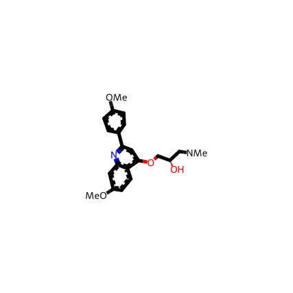 CNC[C@H](O)COc1cc(-c2ccc(OC)cc2)nc2cc(OC)ccc12